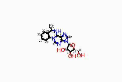 CCC(Nc1ncnc2c1ncn2[C@@H]1O[C@H](CO)C(O)[C@@H]1O)c1ccccc1